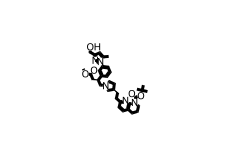 COC(=O)C[C@H](CN1CC[C@@H](CCc2ccc3c(n2)N(C(=O)OC(C)(C)C)CCC3)C1)c1cccc(-n2nc(CO)cc2C)c1